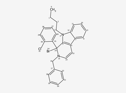 CCCCn1c2c(c3ccccc31)C=CN(Cc1ccccc1)C2(Br)c1ccccc1Cl